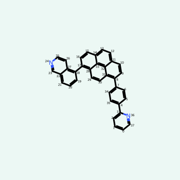 c1ccc(-c2ccc(-c3ccc4ccc5ccc(-c6cccc7cnccc67)c6ccc3c4c56)cc2)nc1